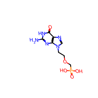 Nc1nc2c(ncn2CCOCP(=O)(O)O)c(=O)[nH]1